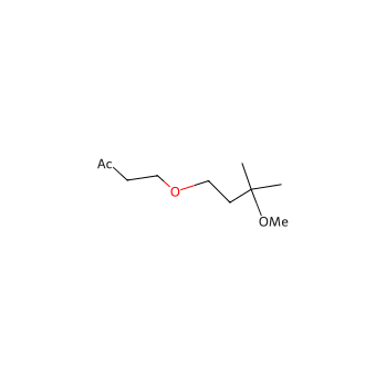 COC(C)(C)CCOCCC(C)=O